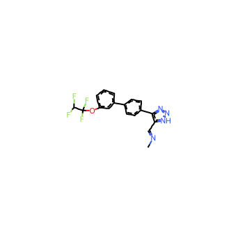 C/N=C/c1[nH]nnc1-c1ccc(-c2cccc(OC(F)(F)C(F)F)c2)cc1